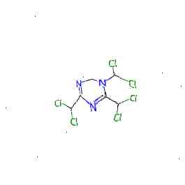 ClC(Cl)C1=NCN(C(Cl)Cl)C(C(Cl)Cl)=N1